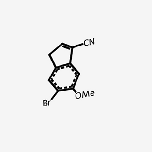 COc1cc2c(cc1Br)CC=C2C#N